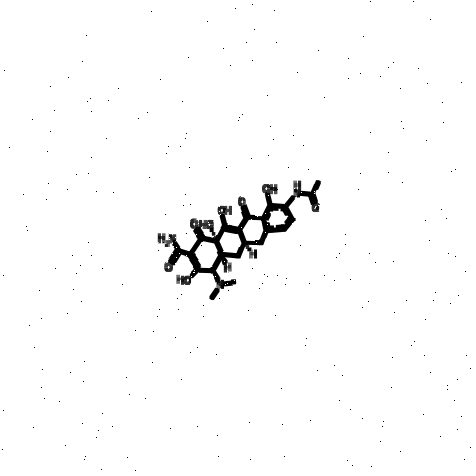 CC(=O)Nc1ccc2c(c1O)C(=O)C1=C(O)[C@]3(O)C(=O)C(C(N)=O)=C(O)[C@H](N(C)C)[C@H]3C[C@@H]1C2